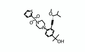 CO[C@@H](C#Cc1cc(C(C)(C)O)ccc1N1CCN(S(=O)(=O)c2cccs2)CC1)C(C)C